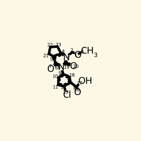 COCn1c2c(c(=O)n(-c3ccc(Cl)c(C(=O)O)c3)c1=O)CCC2